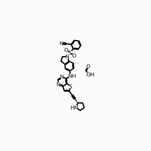 N#Cc1ccccc1S(=O)(=O)N1CCc2cc(Nc3ncnc4cc(C#C[C@H]5CCCN5)sc34)ccc21.O=CO